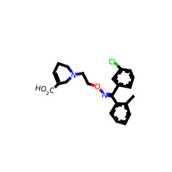 Cc1ccccc1/C(=N/OCCN1CCC=C(C(=O)O)C1)c1cccc(Cl)c1